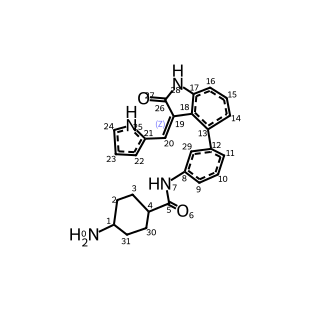 NC1CCC(C(=O)Nc2cccc(-c3cccc4c3/C(=C/c3ccc[nH]3)C(=O)N4)c2)CC1